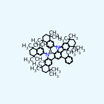 Cc1ccccc1-c1cc2c3c4c1c1cc5c(cc1n4-c1cc4c(cc1B3N(c1ccc3c(c1)C(C)(C)CCC3(C)C)c1cc3c(cc1-2)C(C)(C)CCC3(C)C)C(C)(C)CCC4(C)C)C(C)(C)CCC5(C)C